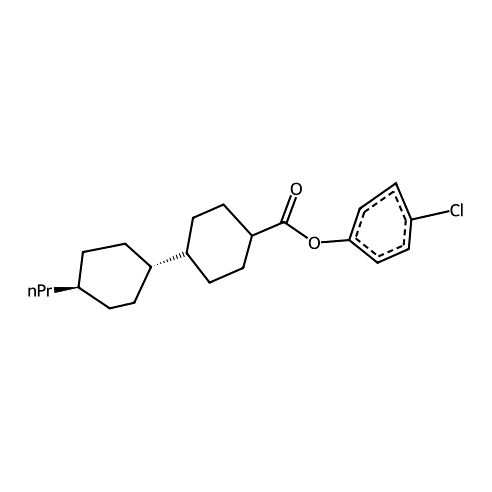 CCC[C@H]1CC[C@H](C2CCC(C(=O)Oc3ccc(Cl)cc3)CC2)CC1